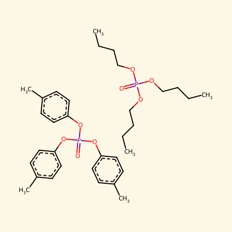 CCCCOP(=O)(OCCCC)OCCCC.Cc1ccc(OP(=O)(Oc2ccc(C)cc2)Oc2ccc(C)cc2)cc1